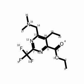 CCOC(=O)c1nc(C(F)(F)F)nc(CN(C)C)c1CC